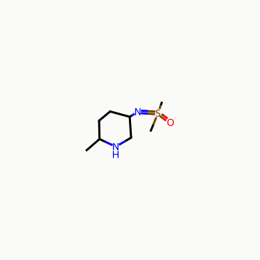 CC1CCC(N=S(C)(C)=O)CN1